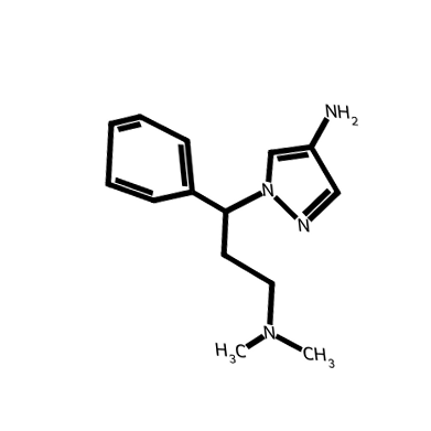 CN(C)CCC(c1ccccc1)n1cc(N)cn1